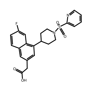 O=C(O)Cc1cc(C2CCN(S(=O)(=O)c3ccccn3)CC2)c2cc(F)ccc2c1